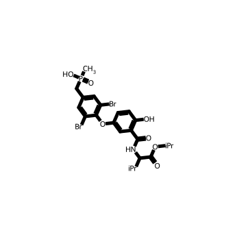 CC(C)OC(=O)C(NC(=O)c1cc(Oc2c(Br)cc(CP(C)(=O)O)cc2Br)ccc1O)C(C)C